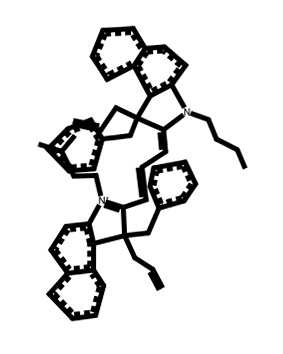 C=CCC1(Cc2ccccc2)C(/C=C/C=C2/N(CCCC)c3ccc4ccccc4c3C2(CC=C)Cc2ccccc2)=[N+](CCC(C)C)c2ccc3ccccc3c21